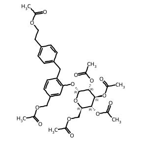 CC(=O)OCCc1ccc(Cc2ccc(COC(C)=O)cc2O[C@H]2O[C@H](COC(C)=O)[C@@H](OC(C)=O)[C@H](OC(C)=O)[C@H]2OC(C)=O)cc1